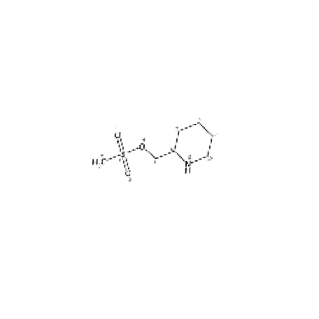 CS(=O)(=O)OCC1CCCCN1